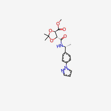 COC(=O)[C@@H]1OC(C)(C)O[C@H]1C(=O)N[C@H](C)c1ccc(-n2cccn2)cc1